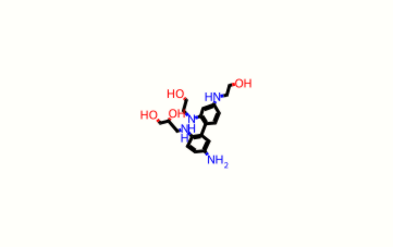 Nc1ccc(NCC(O)CO)c(-c2ccc(NCCO)cc2NCCO)c1